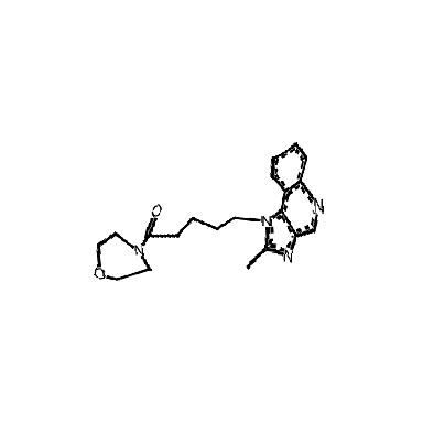 Cc1nc2cnc3ccccc3c2n1CCCCC(=O)N1CCOCC1